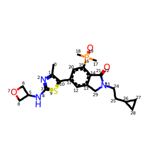 Cc1nc(NC2COC2)sc1-c1cc2c(c(P(C)(C)=O)c1)C(=O)N(CCC1CC1)C2